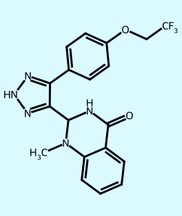 CN1c2ccccc2C(=O)NC1c1n[nH]nc1-c1ccc(OCC(F)(F)F)cc1